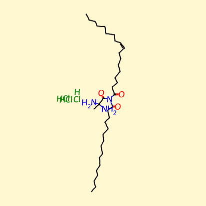 CCCCCCCC/C=C\CCCCCCCC(=O)N(C(=O)CCCCCCCCCCCCCCC)C(=O)C(C)(N)N.Cl.Cl.Cl